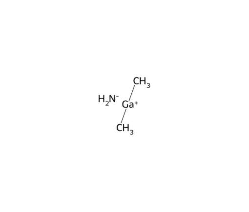 [CH3][Ga+][CH3].[NH2-]